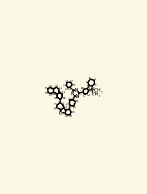 CC1(C)c2ccccc2-c2cc(-c3nc(-c4ccccc4)nc(-c4ccc(-c5cccc6oc7ccc(-c8ccc9ccc%10ccccc%10c9c8)cc7c56)cc4)n3)ccc21